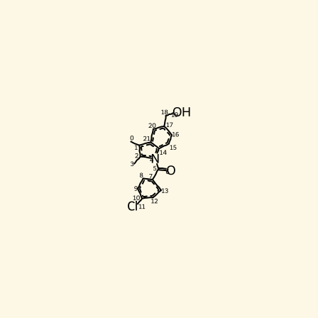 Cc1c(C)n(C(=O)c2ccc(Cl)cc2)c2ccc(CO)cc12